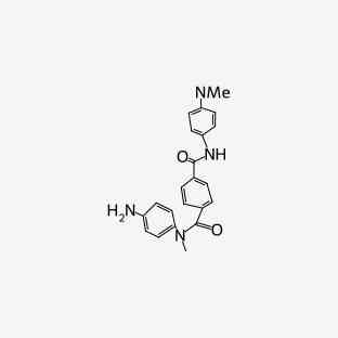 CNc1ccc(NC(=O)c2ccc(C(=O)N(C)c3ccc(N)cc3)cc2)cc1